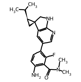 CC(C)[C@@H]1C[C@]12CNc1ncc(-c3ccc(N)c(C(=O)N(C)C)c3F)cc12